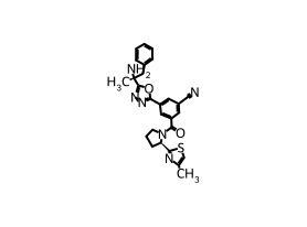 Cc1csc([C@H]2CCCN2C(=O)c2cc(C#N)cc(-c3nnc([C@](C)(N)Cc4ccccc4)o3)c2)n1